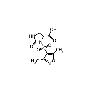 Cc1noc(C)c1S(=O)(=O)N1C(=O)NC[C@H]1C(=O)O